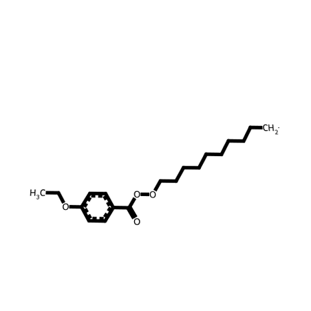 [CH2]CCCCCCCCCOOC(=O)c1ccc(OCC)cc1